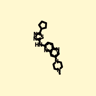 CN1CCN(c2cnc3ccc(Nc4nnc(C5CCCC5)s4)nc3c2)CC1